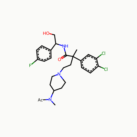 CC(=O)N(C)C1CCN(CCC(C)(C(=O)NC(CO)c2ccc(F)cc2)c2ccc(Cl)c(Cl)c2)CC1